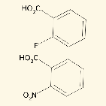 O=C(O)c1ccccc1F.O=C(O)c1ccccc1[N+](=O)[O-]